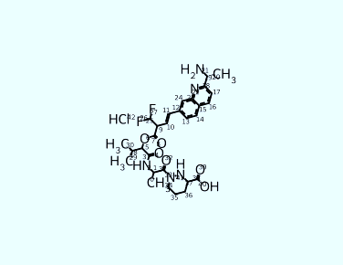 CC(NC(=O)C(OC(=O)C(/C=C/c1ccc2ccc([C@@H](C)N)nc2c1)C(F)F)C(C)C)C(=O)N1CCCC(C(=O)O)N1.Cl